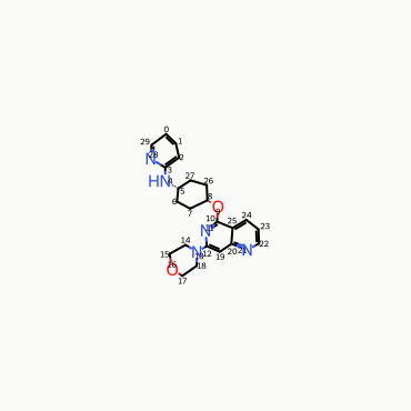 c1ccc(N[C@H]2CC[C@@H](Oc3nc(N4CCOCC4)cc4ncccc34)CC2)nc1